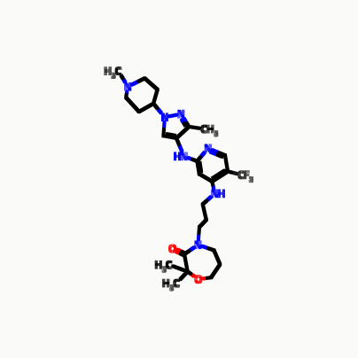 Cc1nn(C2CCN(C)CC2)cc1Nc1cc(NCCCN2CCCOC(C)(C)C2=O)c(C(F)(F)F)cn1